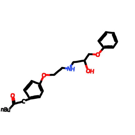 CCCCC(=O)Cc1ccc(OCCNCC(O)COc2ccccc2)cc1